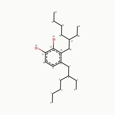 CCCCC(CC)Cc1ccc(Br)c(Br)c1CC(CC)CCCC